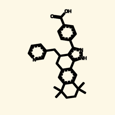 CC1(C)CCC(C)(C)c2cc3c(cc21)CC(Cc1cccnc1)c1c(-c2ccc(C(=O)O)cc2)n[nH]c1-3